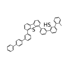 Cc1ccccc1-c1cccc(-c2cccc(-c3cccc4c3sc3c(-c5cccc(-c6ccc(-c7ccccc7)cc6)c5)cccc34)c2)c1S